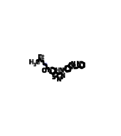 CCN(C)C/C=C/C(=O)N1CCc2c(sc3ncnc(Nc4ccc5c(cnn5Cc5ccccn5)c4)c23)C1